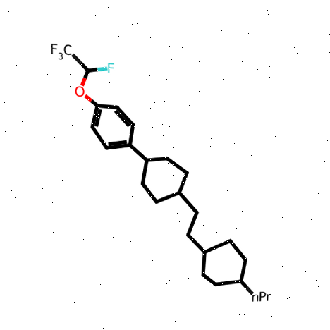 CCCC1CCC(CCC2CCC(c3ccc(OC(F)C(F)(F)F)cc3)CC2)CC1